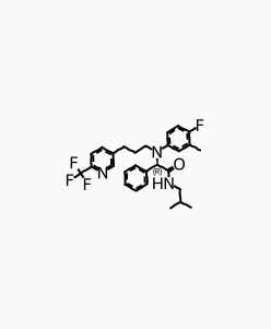 Cc1cc(N(CCCc2ccc(C(F)(F)F)nc2)[C@@H](C(=O)NCC(C)C)c2ccccc2)ccc1F